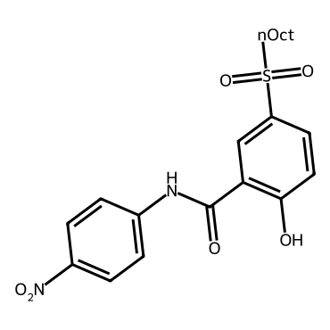 CCCCCCCCS(=O)(=O)c1ccc(O)c(C(=O)Nc2ccc([N+](=O)[O-])cc2)c1